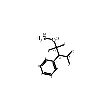 CC(C)C(c1ccccc1)C(C)(C)O[SiH3]